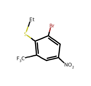 CCSc1c(Br)cc([N+](=O)[O-])cc1C(F)(F)F